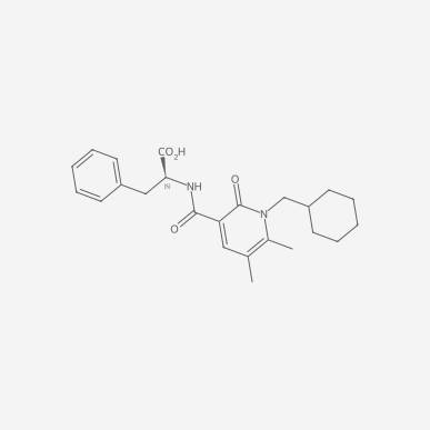 Cc1cc(C(=O)N[C@@H](Cc2ccccc2)C(=O)O)c(=O)n(CC2CCCCC2)c1C